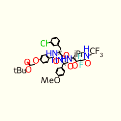 COc1ccc([C@H](NC(=O)[C@H](Cc2cccc(Cl)c2)NC(=O)c2ccc(OCC(=O)OC(C)(C)C)cc2)C(=O)N[C@H](C(=O)C(F)(F)C(=O)NCC(F)(F)F)C(C)C)cc1